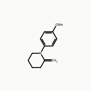 C=C1CCCCN1c1ccc(OC)cc1